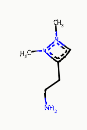 Cn1cc(CCN)n1C